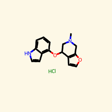 CN1Cc2occc2C(Oc2cccc3[nH]ccc23)C1.Cl